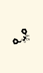 C[C@](C#N)(Nc1ccccc1)C(=O)OCc1ccccc1